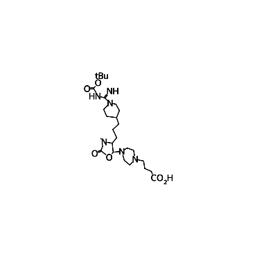 CN1C(=O)OC(N2CCN(CCCC(=O)O)CC2)C1CCCC1CCN(C(=N)NC(=O)OC(C)(C)C)CC1